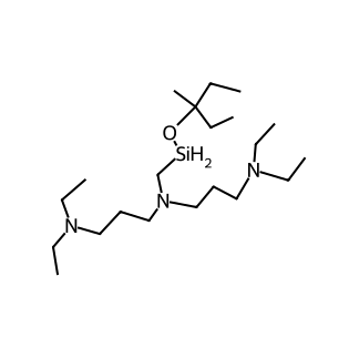 CCN(CC)CCCN(CCCN(CC)CC)C[SiH2]OC(C)(CC)CC